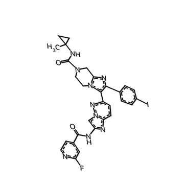 CC1(NC(=O)N2CCn3c(nc(-c4ccc(I)cc4)c3-c3ccc4nc(NC(=O)c5ccnc(F)c5)cn4n3)C2)CC1